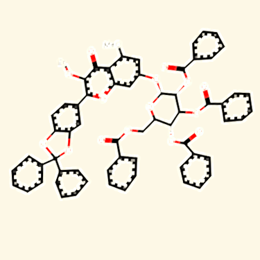 CCOc1c(-c2ccc3c(c2)OC(c2ccccc2)(c2ccccc2)O3)oc2cc(O[C@@H]3OC(COC(=O)c4ccccc4)[C@@H](OC(=O)c4ccccc4)C(OC(=O)c4ccccc4)[C@@H]3OC(=O)c3ccccc3)cc(OC)c2c1=O